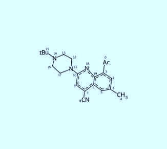 CC(=O)c1cc(C)cc2c(C#N)cc(N3CCN(C(C)(C)C)CC3)nc12